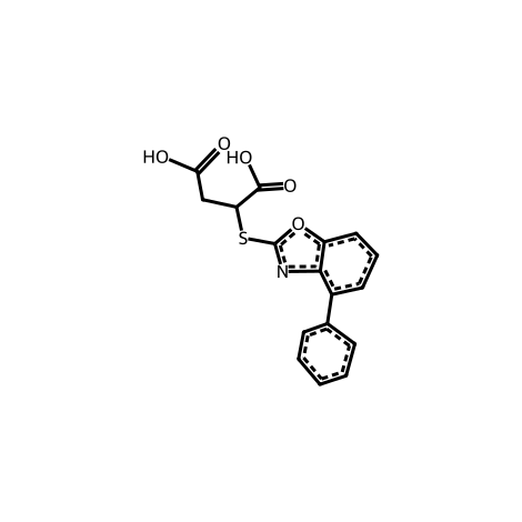 O=C(O)CC(Sc1nc2c(-c3ccccc3)cccc2o1)C(=O)O